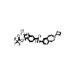 Cc1nc2cc(C(=O)Nc3ccc4c(c3)CCN(C3CCC3)CC4)ccc2n1OC(=O)C(F)(F)F